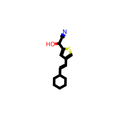 N#CC(O)c1cc(C=CC2CCCCC2)cs1